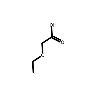 [CH2]COCC(=O)O